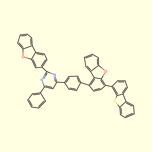 c1ccc(-c2cc(-c3ccc(-c4ccc(-c5cccc6c5sc5ccccc56)c5oc6ccccc6c45)cc3)nc(-c3ccc4c(c3)oc3ccccc34)n2)cc1